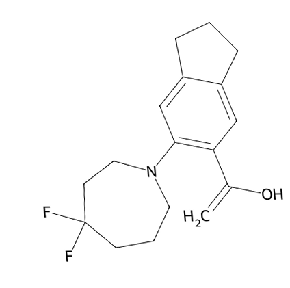 C=C(O)c1cc2c(cc1N1CCCC(F)(F)CC1)CCC2